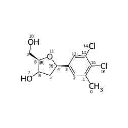 Cc1cc([C@H]2CC(O)[C@@H](CO)O2)cc(Cl)c1Cl